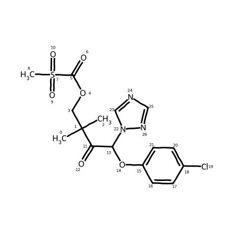 CC(C)(COC(=O)S(C)(=O)=O)C(=O)C(Oc1ccc(Cl)cc1)n1cncn1